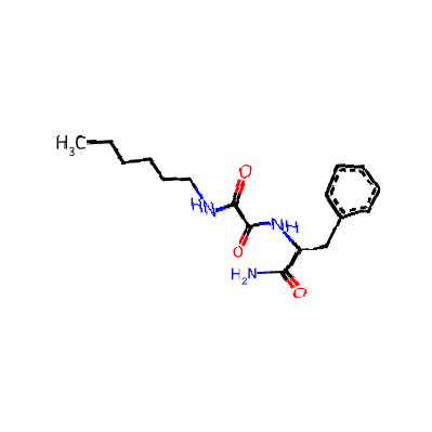 CCCCCCNC(=O)C(=O)N[C@@H](Cc1ccccc1)C(N)=O